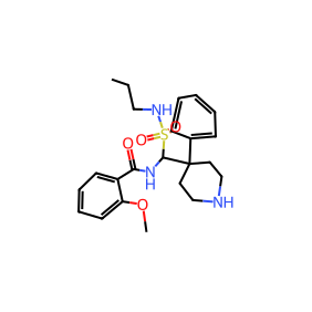 CCCNS(=O)(=O)C(NC(=O)c1ccccc1OC)C1(c2ccccc2)CCNCC1